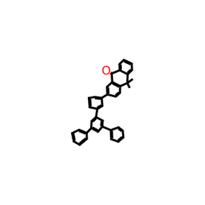 CC1(C)c2ccccc2C(=O)c2cc(-c3cccc(-c4cc(-c5ccccc5)cc(-c5ccccc5)c4)c3)ccc21